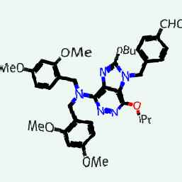 CCCCc1nc2c(N(Cc3ccc(OC)cc3OC)Cc3ccc(OC)cc3OC)nnc(OC(C)C)c2n1Cc1ccc(C=O)cc1